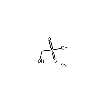 O=S(=O)(O)CO.[Sn]